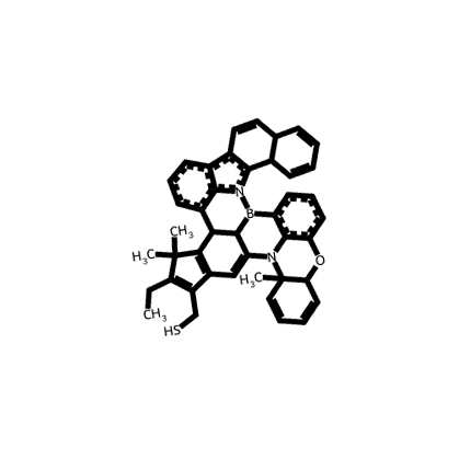 CCC1=C(CS)C2=C(C3c4cccc5c6c(n(c45)B4c5cccc7c5N(C(=C2)C43)C2(C)C=CC=CC2O7)C2C=CC=CC2C=C6)C1(C)C